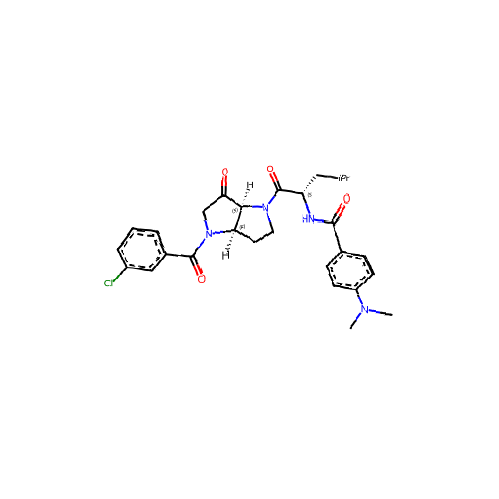 CC(C)C[C@H](NC(=O)c1ccc(N(C)C)cc1)C(=O)N1CC[C@@H]2[C@H]1C(=O)CN2C(=O)c1cccc(Cl)c1